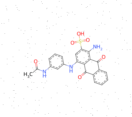 CC(=O)Nc1cccc(Nc2cc(S(=O)(=O)O)c(N)c3c2C(=O)c2ccccc2C3=O)c1